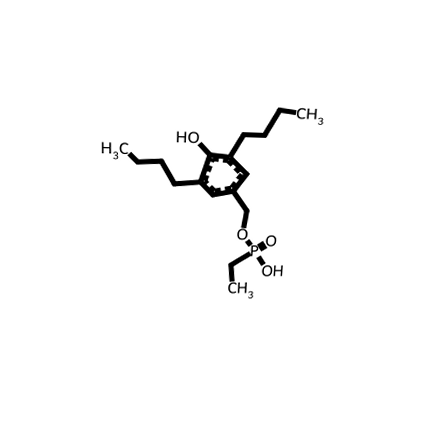 CCCCc1cc(COP(=O)(O)CC)cc(CCCC)c1O